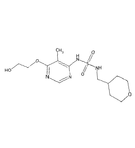 Cc1c(NS(=O)(=O)NCC2CCOCC2)ncnc1OCCO